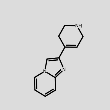 C1=C(c2cn3ccccc3n2)CCNC1